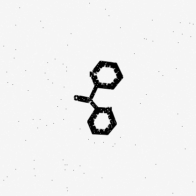 O=[P](c1ccccn1)c1ccccn1